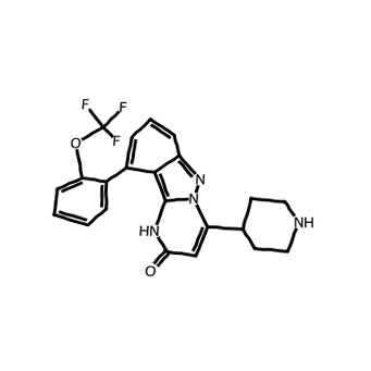 O=c1cc(C2CCNCC2)n2nc3cccc(-c4ccccc4OC(F)(F)F)c3c2[nH]1